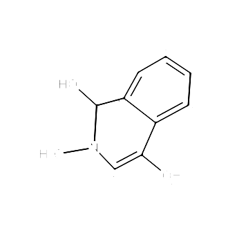 CN1C=C(O)c2ccccc2C1O